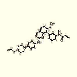 C=CC(=O)Nc1cccc(-c2c(CO)ccc3cnc(Nc4ccc(N5CCN(CCF)CC5)cc4)nc23)c1